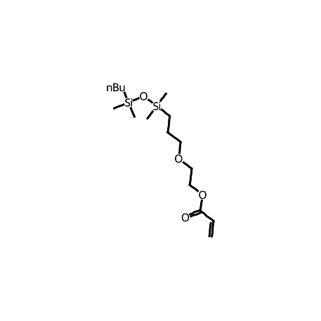 C=CC(=O)OCCOCCC[Si](C)(C)O[Si](C)(C)CCCC